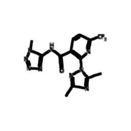 Cc1nc(C)n(-c2nc(C(F)(F)F)ccc2C(=O)Nc2nnnn2C)n1